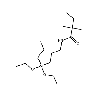 CCO[Si](CCCNC(=O)C(C)(C)CC)(OCC)OCC